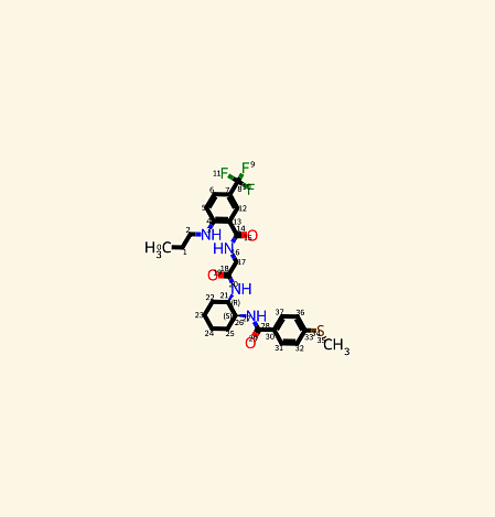 CCCNc1ccc(C(F)(F)F)cc1C(=O)NCC(=O)N[C@@H]1CCCC[C@@H]1NC(=O)c1ccc(SC)cc1